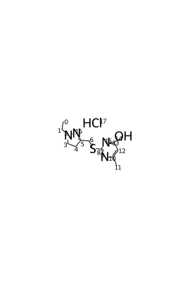 CCN1CCC(CSc2nc(C)cc(O)n2)=N1.Cl